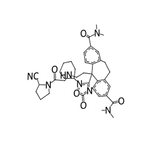 CN(C)C(=O)c1ccc2c(c1)CCc1cc(C(=O)N(C)C)ccc1C2(CCNCC(=O)N1CCCC1C#N)c1nc(=O)on1C1CCCCC1